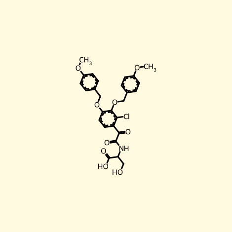 COc1ccc(COc2ccc(C(=O)C(=O)NC(CO)C(=O)O)c(Cl)c2OCc2ccc(OC)cc2)cc1